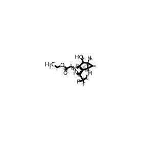 CCOC(=O)Cn1nc(C(F)(F)F)c2c1C(O)[C@@H]1C[C@H]21